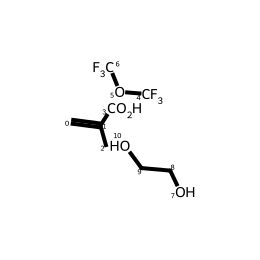 C=C(C)C(=O)O.FC(F)(F)OC(F)(F)F.OCCO